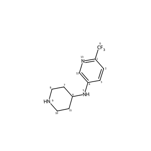 FC(F)(F)c1ccc(NC2CCNCC2)cn1